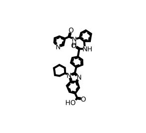 O=C(O)c1ccc2c(c1)nc(-c1ccc(C(=O)Nc3ccccc3NC(=O)c3cccnc3)cc1)n2C1CCCCC1